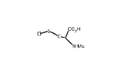 CC(=O)NC(CSCl)C(=O)O